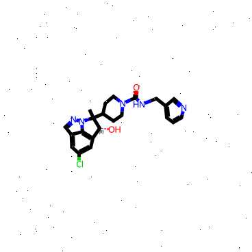 CC1(C2CCN(C(=O)NCc3cccnc3)CC2)[C@H](O)c2cc(Cl)cc3cnn1c23